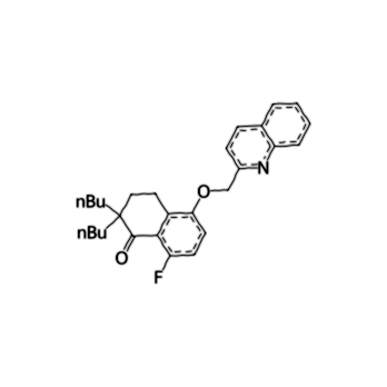 CCCCC1(CCCC)CCc2c(OCc3ccc4ccccc4n3)ccc(F)c2C1=O